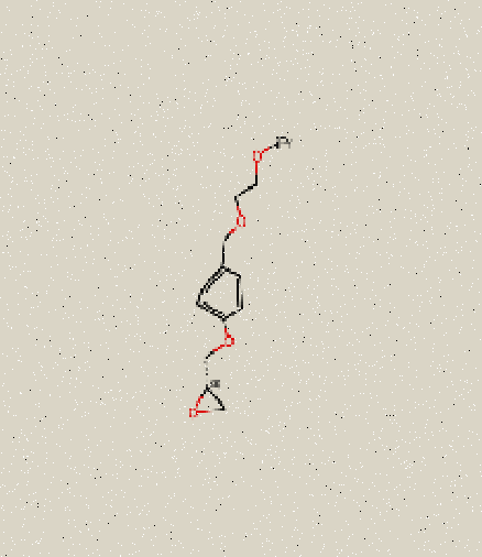 CC(C)OCCOCc1ccc(OC[C@@H]2CO2)cc1